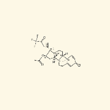 CC(=O)O[C@@H]1C[C@H]2[C@@H]3CCC4=CC(=O)C=C[C@]4(C)[C@H]3CC[C@]2(C)[C@H]1NCC(=O)C(F)(F)F